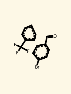 FC(F)(F)c1ccccc1.O=Cc1ccc(Br)cc1